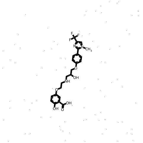 Cn1cc(C(F)(F)F)nc1-c1ccc(OCC(O)CNCCOc2ccc(O)c(C(=O)O)c2)cc1